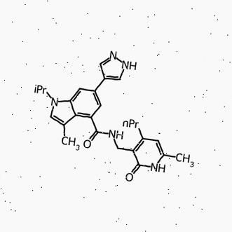 CCCc1cc(C)[nH]c(=O)c1CNC(=O)c1cc(-c2cn[nH]c2)cc2c1c(C)cn2C(C)C